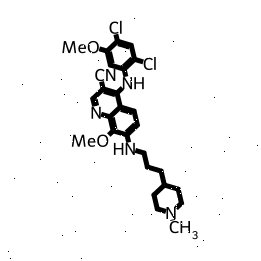 COc1cc(Nc2c(C#N)cnc3c(OC)c(NCCCC4CCN(C)CC4)ccc23)c(Cl)cc1Cl